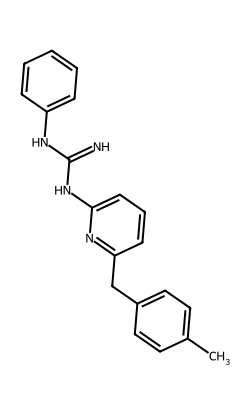 Cc1ccc(Cc2cccc(NC(=N)Nc3ccccc3)n2)cc1